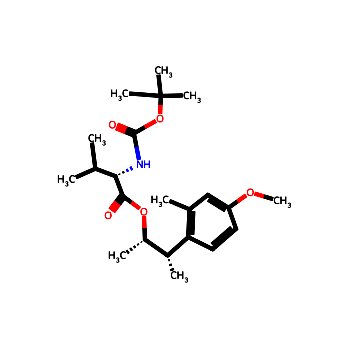 COc1ccc([C@H](C)[C@H](C)OC(=O)[C@@H](NC(=O)OC(C)(C)C)C(C)C)c(C)c1